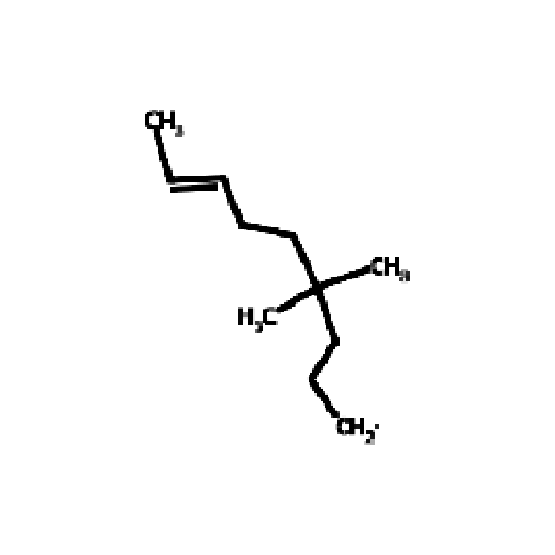 [CH2]CCC(C)(C)CCC=CC